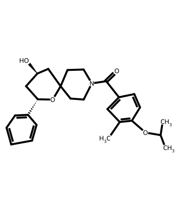 Cc1cc(C(=O)N2CCC3(CC2)C[C@H](O)C[C@@H](c2ccccc2)O3)ccc1OC(C)C